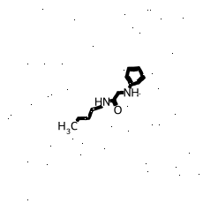 CCCCCNC(=O)CNc1ccccc1